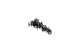 CN(CCN1C[C@H]2CC(N(C(=O)O)c3ccccc3-c3ccccc3)C[C@H]2C1)C(=O)c1ccc(C=O)cc1